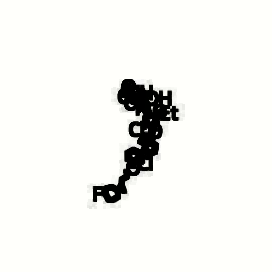 CCOc1cc(O[C@H]2CCc3c(-c4cccc(OCCCC5CC56CCCC(F)CC6)c4Cl)cccc32)c(Cl)cc1CN(C)[C@H](C(=O)NS(C)(=O)=O)[C@@H](C)O